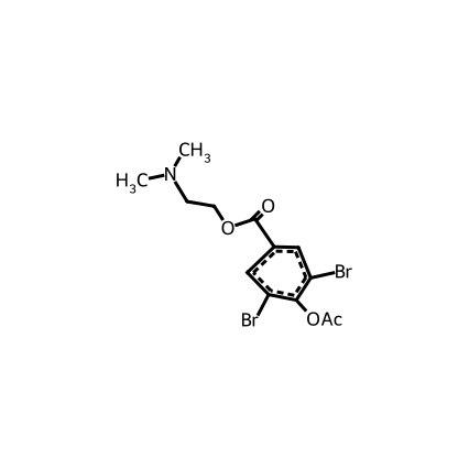 CC(=O)Oc1c(Br)cc(C(=O)OCCN(C)C)cc1Br